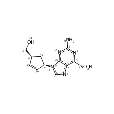 Nc1nc(S(=O)(=O)O)c2ncn([C@H]3C=C[C@@H](CO)C3)c2n1